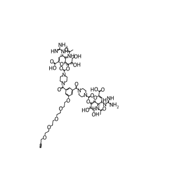 C#CCOCCOCCOCCOCCOc1cc(C(=O)N2CCN(C(=O)O[C@@H]([C@@H]3OC(C(=O)O)=C[C@H](NC(=N)N)[C@H]3NC(C)=O)[C@H](O)CO)CC2)cc(C(=O)N2CCN(C(=O)O[C@@H]([C@@H]3OC(C(=O)O)=C[C@H](NC(=N)N)[C@H]3NC(C)=O)[C@H](O)CO)CC2)c1